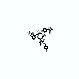 C#CCN(C(=O)NCc1ccc(F)cc1)N1CCN(Cc2cccc3sc(N)nc23)C(=O)[C@H](Cc2ccc(-c3nnn[nH]3)cc2)NC(=O)C1